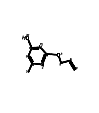 C=CCOc1nc(C)cc(O)n1